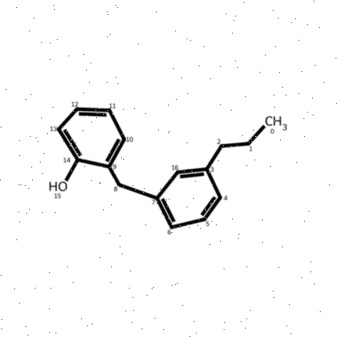 CCCc1cccc(Cc2ccccc2O)c1